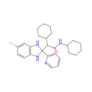 O=C(NC1CCCCC1)C(C1CCCCC1)C1(c2ccccn2)Nc2ccc(F)cc2N1